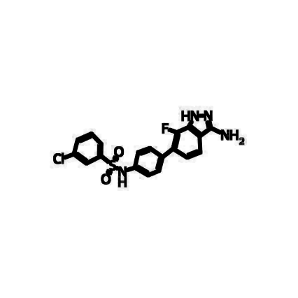 Nc1n[nH]c2c(F)c(-c3ccc(NS(=O)(=O)c4cccc(Cl)c4)cc3)ccc12